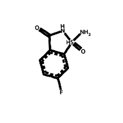 N[SH]1(=O)NC(=O)c2ccc(F)cc21